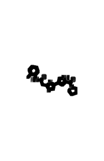 Cc1ccccc1NC(=O)Cc1nc(-c2c[nH]c(C(=O)N3CCCC3)c2)cs1